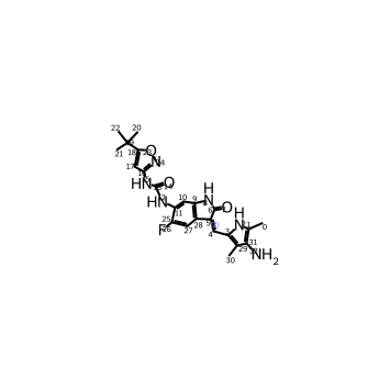 Cc1[nH]c(/C=C2\C(=O)Nc3cc(NC(=O)Nc4cc(C(C)(C)C)on4)c(F)cc32)c(C)c1N